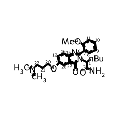 CCCCC(C(N)=O)n1c(-c2ccccc2OC)nc2ccc(OCCCN(C)C)cc2c1=O